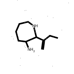 C=C(CC)C1NCCCCC1N